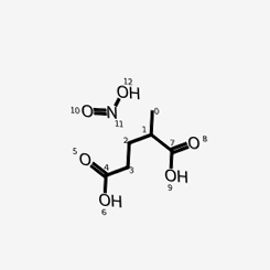 CC(CCC(=O)O)C(=O)O.O=NO